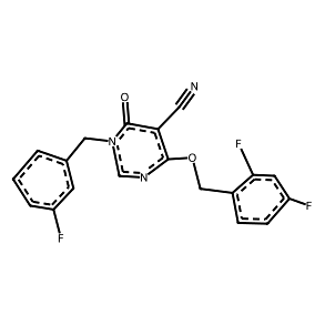 N#Cc1c(OCc2ccc(F)cc2F)ncn(Cc2cccc(F)c2)c1=O